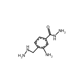 NNCc1ccc(C(=O)NN)cc1N